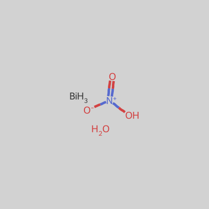 O.O=[N+]([O-])O.[BiH3]